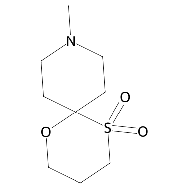 CN1CCC2(CC1)OCCCS2(=O)=O